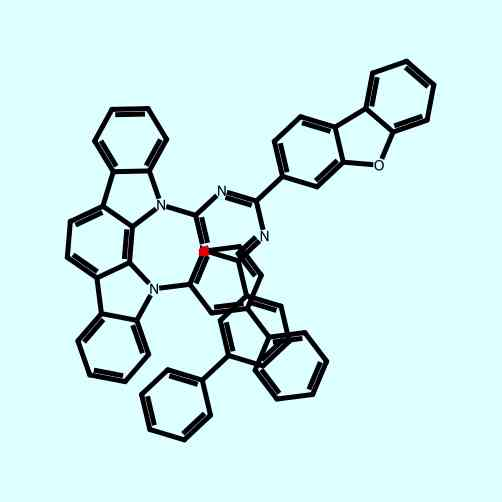 c1ccc(-c2cccc(-c3nc(-c4ccc5c(c4)oc4ccccc45)nc(-n4c5ccccc5c5ccc6c7ccccc7n(-c7cccc(-c8ccccc8)c7)c6c54)n3)c2)cc1